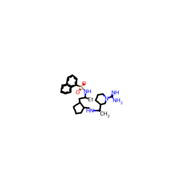 C=C(NCC1CCCC1CC(CC)NS(=O)(=O)c1cccc2ccccc12)C1CCCN(C(=N)N)C1